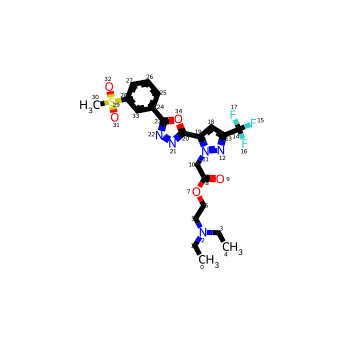 CCN(CC)CCOC(=O)Cn1nc(C(F)(F)F)cc1-c1nnc(-c2cccc(S(C)(=O)=O)c2)o1